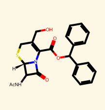 CC(=O)NC1C(=O)N2C(C(=O)OC(c3ccccc3)c3ccccc3)=C(CO)CS[C@@H]12